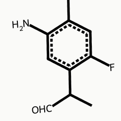 Cc1cc(F)c(C(C)C=O)cc1N